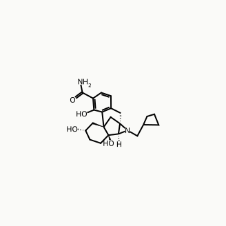 NC(=O)c1ccc2c(c1O)[C@@]13C[C@@H](O)CC[C@@]1(O)[C@@H]1N(CC4CCC4)[C@]1(C2)C3